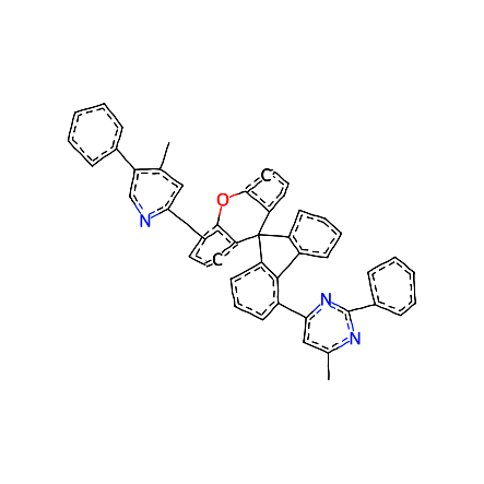 Cc1cc(-c2cccc3c2-c2ccccc2C32c3ccccc3Oc3c(-c4cc(C)c(-c5ccccc5)cn4)cccc32)nc(-c2ccccc2)n1